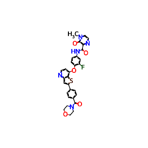 Cn1ccnc(C(=O)Nc2ccc(Oc3ccnc4cc(-c5ccc(C(=O)N6CCOCC6)cc5)sc34)c(F)c2)c1=O